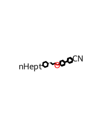 CCCCCCC[C@H]1CC[C@H](CCCOc2ccc(-c3ccc(C#N)cc3)cc2)CC1